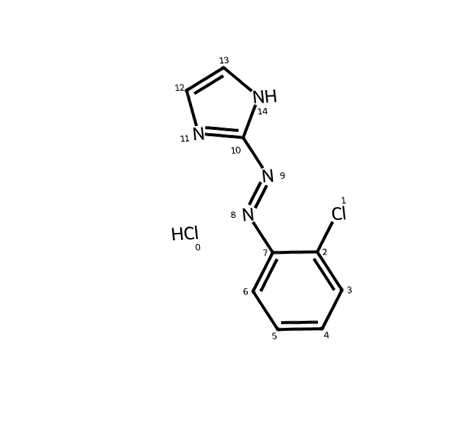 Cl.Clc1ccccc1/N=N/c1ncc[nH]1